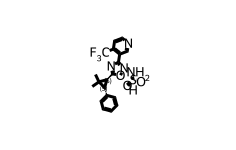 CC1(C)[C@@H](c2ccccc2)[C@@H]1c1nc(-c2cnccc2C(F)(F)F)no1.N[SH](=O)=O